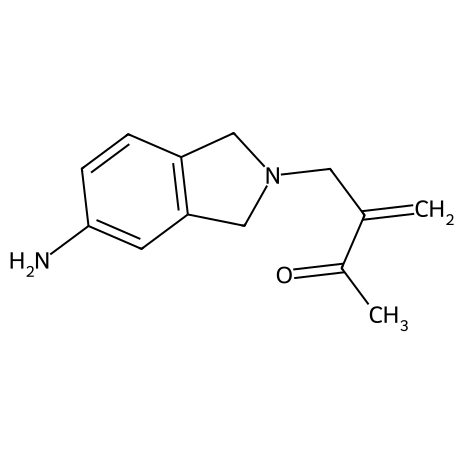 C=C(CN1Cc2ccc(N)cc2C1)C(C)=O